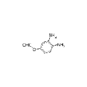 Nc1ccc(O[C]=O)cc1N